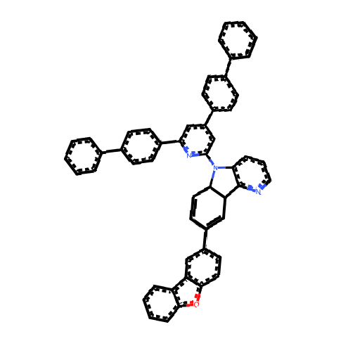 C1=CC2C(C=C1c1ccc3oc4ccccc4c3c1)c1ncccc1N2c1cc(-c2ccc(-c3ccccc3)cc2)cc(-c2ccc(-c3ccccc3)cc2)n1